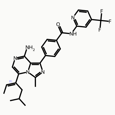 C/C=C(\CC(C)C)c1cnc(N)c2c(-c3ccc(C(=O)Nc4cc(C(F)(F)F)ccn4)cc3)nc(C)n12